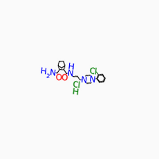 Cl.NC(=O)C1C2CCC(C2)C1C(=O)NCCCN1CCN(c2ccccc2Cl)CC1